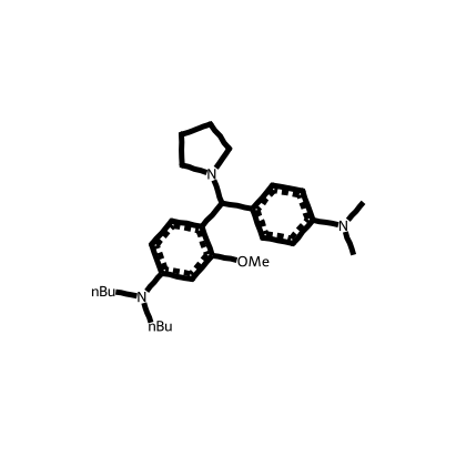 CCCCN(CCCC)c1ccc(C(c2ccc(N(C)C)cc2)N2CCCC2)c(OC)c1